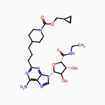 CCNC(=O)[C@H]1O[C@@H](n2cnc3c(N)nc(CCCC4CCN(C(=O)OCC5CC5)CC4)nc32)C(O)[C@H]1O